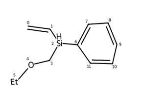 C=C[SiH](COCC)c1ccccc1